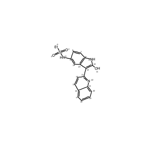 CCS(=O)(=O)Nc1ccc2[nH]c(O)c(-c3ccc4ccccc4n3)c2c1